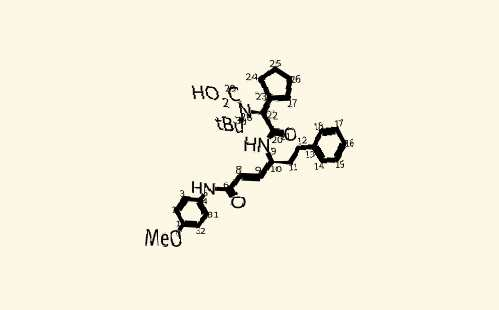 COc1ccc(NC(=O)C=C[C@H](CCc2ccccc2)NC(=O)[C@H](C2CCCC2)N(C(=O)O)C(C)(C)C)cc1